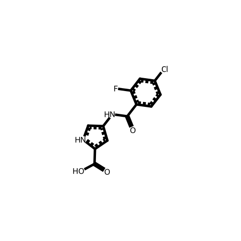 O=C(O)c1cc(NC(=O)c2ccc(Cl)cc2F)c[nH]1